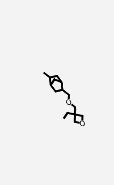 CCC1(COCC2CC3CC2CC3C)COC1